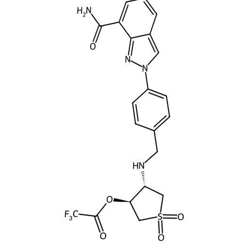 NC(=O)c1cccc2cn(-c3ccc(CN[C@@H]4CS(=O)(=O)C[C@H]4OC(=O)C(F)(F)F)cc3)nc12